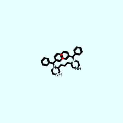 c1ccc(C(c2ccccc2)N2CCNCC2CCCC2CNCCN2C(c2ccccc2)c2ccccc2)cc1